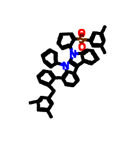 Cc1cc(C)cc(Cc2ccccc2-c2cccc3c4c5ccccc5n(-c5ccccc5S(=O)(=O)c5cc(C)cc(C)c5)c4n(-c4ccccc4)c23)c1